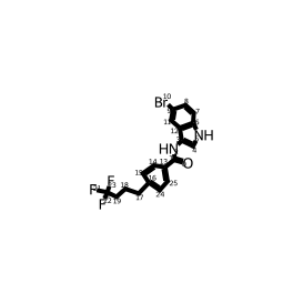 O=C(Nc1c[nH]c2ccc(Br)cc12)c1ccc(CCCC(F)(F)F)cc1